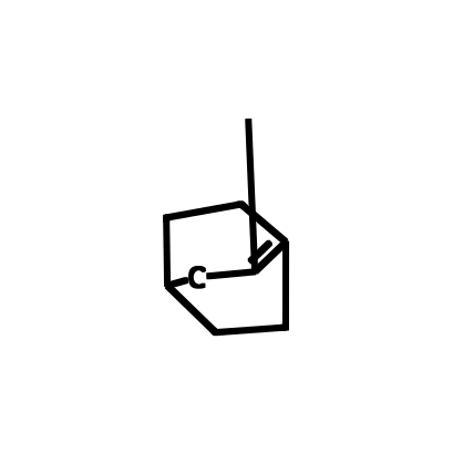 CC1=C2CCC(CC2)C1